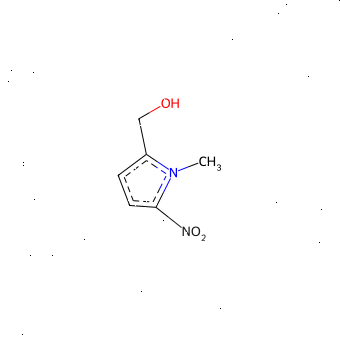 Cn1c(CO)ccc1[N+](=O)[O-]